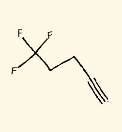 [C]#CCCC(F)(F)F